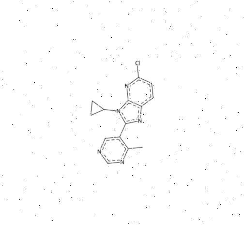 Cc1ncncc1-c1nc2ccc(Cl)nc2n1C1CC1